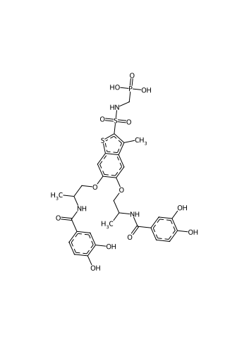 Cc1c(S(=O)(=O)NCP(=O)(O)O)sc2cc(OCC(C)NC(=O)c3ccc(O)c(O)c3)c(OCC(C)NC(=O)c3ccc(O)c(O)c3)cc12